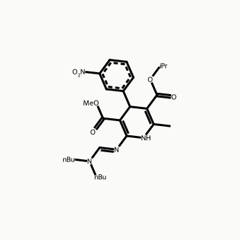 CCCCN(C=NC1=C(C(=O)OC)C(c2cccc([N+](=O)[O-])c2)C(C(=O)OC(C)C)=C(C)N1)CCCC